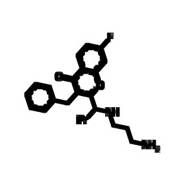 CC(C)C(NCCCN)c1oc2cc(F)ccc2c(=O)c1Cc1ccccc1